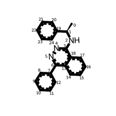 C[C@@H](Nc1nnc(-c2ccccc2)c2ccccc12)c1ccccc1